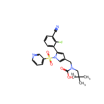 CC(C)(C)CN(Cc1cc(-c2cccc(C#N)c2F)n(S(=O)(=O)c2cccnc2)c1)C(=O)O